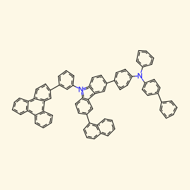 c1ccc(-c2ccc(N(c3ccccc3)c3ccc(-c4ccc5c(c4)c4cc(-c6cccc7ccccc67)ccc4n5-c4cccc(-c5ccc6c7ccccc7c7ccccc7c6c5)c4)cc3)cc2)cc1